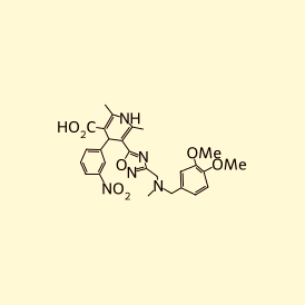 COc1ccc(CN(C)Cc2noc(C3=C(C)NC(C)=C(C(=O)O)C3c3cccc([N+](=O)[O-])c3)n2)cc1OC